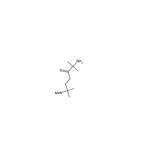 CNC(C)(C)CCC(=O)C(C)(C)N